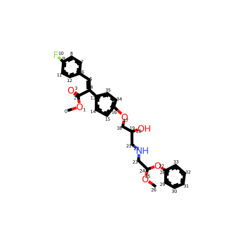 COC(=O)C(=Cc1ccc(F)cc1)c1ccc(OCC(O)CNCC(OC)Oc2ccccc2)cc1